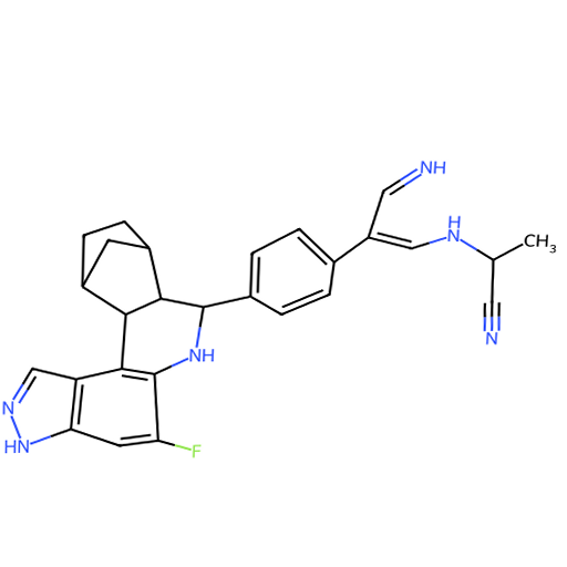 CC(C#N)N/C=C(\C=N)c1ccc(C2Nc3c(F)cc4[nH]ncc4c3C3C4CCC(C4)C23)cc1